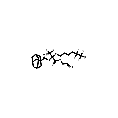 C=CCOC(=O)C(OCCCCC(F)(F)C(F)(F)S)(OC(=O)C12CC3CC(CC(C3)C1)C2)C(F)(F)F